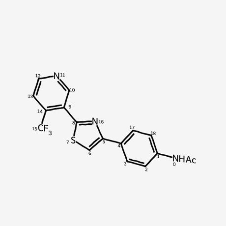 CC(=O)Nc1ccc(-c2csc(-c3cnccc3C(F)(F)F)n2)cc1